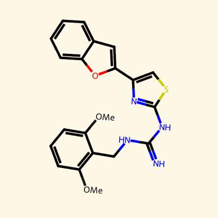 COc1cccc(OC)c1CNC(=N)Nc1nc(-c2cc3ccccc3o2)cs1